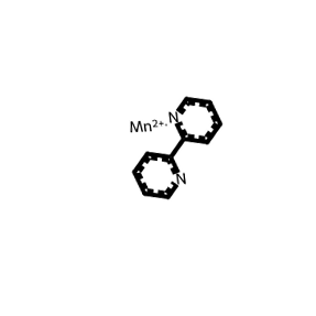 [Mn+2].c1ccc(-c2ccccn2)nc1